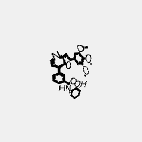 COc1cc(-c2cc3nccc(-c4cccc(C(=O)N[C@H]5CCCC[C@H]5O)c4)c3o2)cc(OC)c1OC